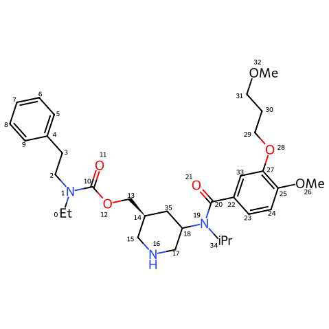 CCN(CCc1ccccc1)C(=O)OC[C@@H]1CNCC(N(C(=O)c2ccc(OC)c(OCCCOC)c2)C(C)C)C1